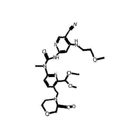 COCCNc1cc(NC(=O)N(C)c2ccc(CN3CCOCC3=C=O)c(C(OC)OC)n2)ncc1C#N